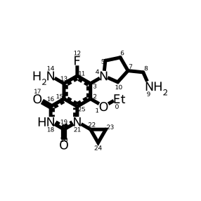 CCOc1c(N2CCC(CN)C2)c(F)c(N)c2c(=O)[nH]c(=O)n(C3CC3)c12